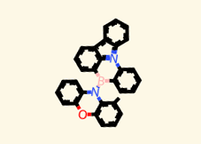 Cc1cccc2c1N(B1c3ccccc3-n3c4ccccc4c4cccc1c43)c1ccccc1O2